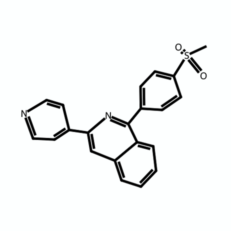 CS(=O)(=O)c1ccc(-c2nc(-c3ccncc3)cc3ccccc23)cc1